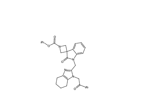 CC(C)OC(=O)N1CC2(C1)C(=O)N(Cc1nc3c(n1CC(=O)C(C)C)CCCC3)c1ccccc12